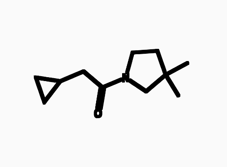 CC1(C)CCN(C(=O)CC2CC2)C1